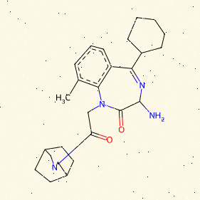 Cc1cccc2c1N(CC(=O)N1CC3CCC(CC3)C1)C(=O)C(N)N=C2C1CCCCC1